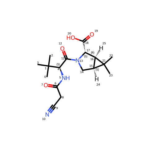 CC(C)(C)[C@H](NC(=O)CC#N)C(=O)N1C[C@H]2[C@@H]([C@H]1C(=O)O)C2(C)C